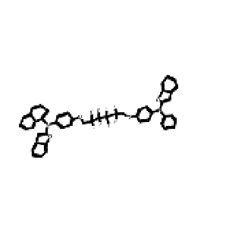 FC(F)(COc1ccc(N(c2ccccc2)c2cc3ccccc3o2)cc1)C(F)(F)C(F)(F)C(F)(F)COc1ccc(N(c2cc3ccccc3o2)c2cccc3ccccc23)cc1